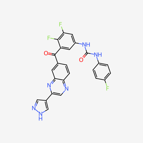 O=C(Nc1ccc(F)cc1)Nc1cc(F)c(F)c(C(=O)c2ccc3ncc(-c4cn[nH]c4)nc3c2)c1